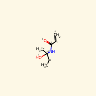 C=CC(=O)NC(C)(O)CC